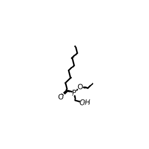 CCCCCCCC(=O)P(CO)OCC